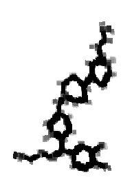 CCON=C(c1ccc(F)c(F)c1)c1ccc(CN2CCC(c3ccnc(OCC)c3)CC2)cn1